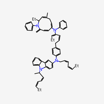 C=C1/C=C\C(N(C(/C=C\Cc2ccc(N(C/C=C\C=C/CC)c3ccc4c(c3)c3ccccc3n4C(C)/C=C\C=C/CC)cc2)=C/CC)c2ccccc2)=C/C/C(C)=C\C(CC)N1c1ccccc1